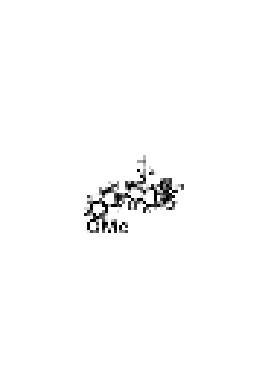 COc1ccc2c(c1)C[C@H](C(CCN)CC1CCN(S(C)(=O)=O)CC1)CC2